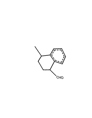 CC1CCC(C=O)c2ccccc21